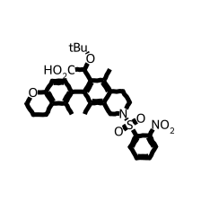 Cc1c(-c2c(C)c3c(c(C)c2C(OC(C)(C)C)C(=O)O)CCN(S(=O)(=O)c2ccccc2[N+](=O)[O-])C3)ccc2c1CCCO2